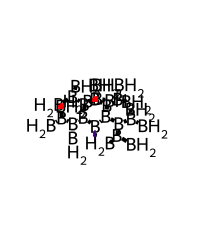 BB(B)B(B)B(B(I)B(B(B(B)B)B(B)B)B(B(B)B)B(B)B)B(B(B)B)B(B)B